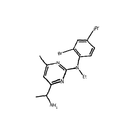 CCN(c1nc(C)cc(C(C)N)n1)c1ccc(C(C)C)cc1Br